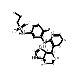 CCCS(=O)(=O)Nc1ccc(C)c(NC2=C(c3ncnc4[nH]cnc34)CCC=N2)c1